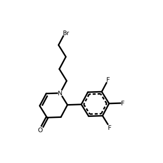 O=C1C=CN(CCCCBr)C(c2cc(F)c(F)c(F)c2)C1